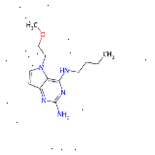 CCCCNc1nc(N)nc2ccn(CCOC)c12